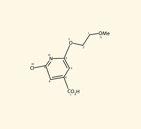 COCCOc1cc(C(=O)O)cc(Cl)n1